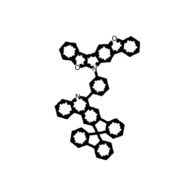 c1cc(-c2nc3ccccc3c3cc4c(cc23)-c2ccccc2C42c3ccccc3-c3ccccc32)cc(-n2c3cc4c(cc3c3c5ccccc5oc32)oc2ccccc24)c1